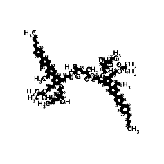 C=C(C)C(=O)OCCCc1cc(-c2ccc(-c3ccc(C4CCC(CCCCC)CC4)cc3)cc2CC)cc(CCCOC(=O)C(=C)CCC(=C)C(=O)OCCCc2cc(-c3ccc(-c4ccc(-c5ccc(CCCCC)cc5)cc4F)cc3CC)cc(CCCOC(=O)C(=C)C)c2OCCC(CO)(CO)CCCC)c1OCCC(CO)(CO)CCCC